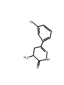 CC1CC(c2cccc(Cl)c2)=NNC1=O